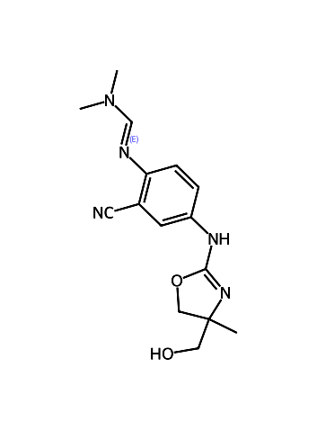 CN(C)/C=N/c1ccc(NC2=NC(C)(CO)CO2)cc1C#N